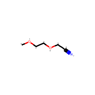 COCCOCC#N